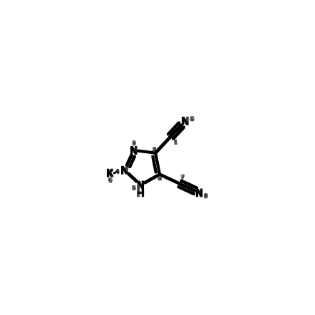 N#Cc1nn[nH]c1C#N.[K]